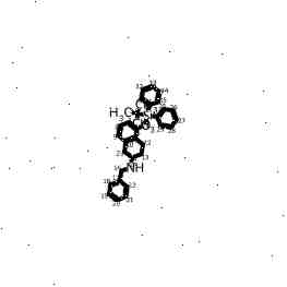 CC(C)(C)[Si](Oc1cccc2c1CCC(NCc1ccccc1)C2)(c1ccccc1)c1ccccc1